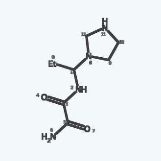 CCC(NC(=O)C(N)=O)N1CCNC1